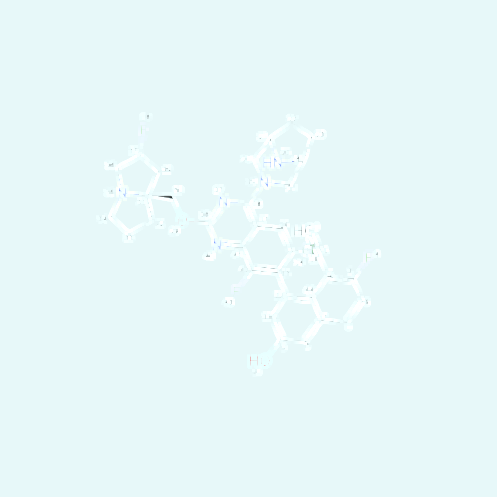 C#Cc1c(F)ccc2cc(O)cc(-c3c(Cl)cc4c(N5CC6CCC(C5)N6)nc(OC[C@@]56CCCN5C[C@H](F)C6)nc4c3F)c12